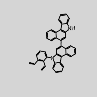 C=Cc1cccc(-n2c3ccccc3c3c4ccccc4c(-c4cc5[nH]c6ccccc6c5c5ccccc45)cc32)c1C=C